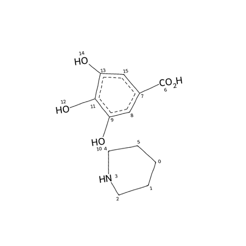 C1CCNCC1.O=C(O)c1cc(O)c(O)c(O)c1